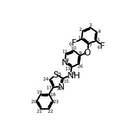 Fc1cccc(F)c1Oc1ccnc(Nc2nc(-c3ccccc3)cs2)c1